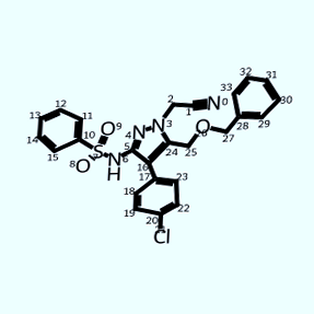 N#CCn1nc(NS(=O)(=O)c2ccccc2)c(-c2ccc(Cl)cc2)c1COCc1ccccc1